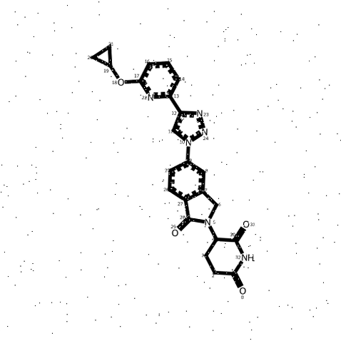 O=C1CCC(N2Cc3cc(-n4cc(-c5cccc(OC6CC6)n5)nn4)ccc3C2=O)C(=O)N1